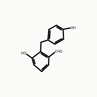 O=Cc1cccc(O)c1Cc1ccc(O)cc1